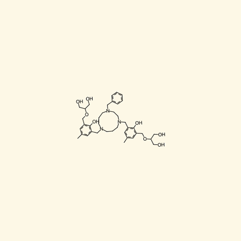 Cc1cc(COC(CO)CO)c(O)c(CN2CCCN(Cc3ccccc3)CCN(Cc3cc(C)cc(COC(CO)CO)c3O)CCC2)c1